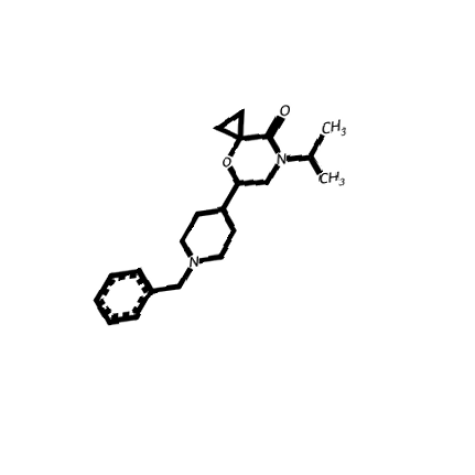 CC(C)N1CC(C2CCN(Cc3ccccc3)CC2)OC2(CC2)C1=O